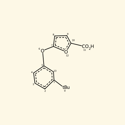 CC(C)(C)c1cccc(Oc2ccc(C(=O)O)o2)c1